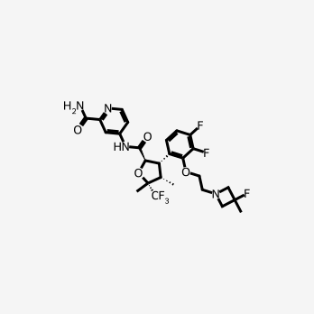 C[C@H]1[C@@H](c2ccc(F)c(F)c2OCCN2CC(C)(F)C2)[C@H](C(=O)Nc2ccnc(C(N)=O)c2)O[C@@]1(C)C(F)(F)F